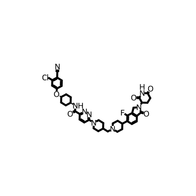 N#Cc1ccc(O[C@H]2CC[C@H](NC(=O)c3ccc(N4CCC(CN5CCC(c6ccc7c(c6F)CN(C6CCC(=O)NC6=O)C7=O)CC5)CC4)nn3)CC2)cc1Cl